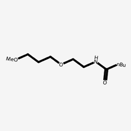 CCCCC(=O)NCCOCCCOC